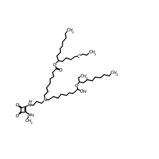 CCCCCCCCC(CCCCCCCC)OC(=O)CCCCCCCN(CCCCCCCC(O)OC(CC)CCCCCCCC)CCCNc1c(NC)c(=O)c1=O